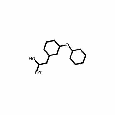 CCCC(O)CC1CCCC(OC2CCCCC2)C1